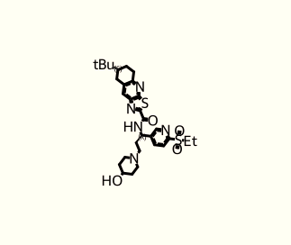 CCS(=O)(=O)c1ccc([C@@H](CCN2CCC(O)CC2)NC(=O)c2nc3cc4c(nc3s2)CC[C@H](C(C)(C)C)C4)cn1